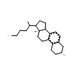 CC(C)CCCC(C)C1CCC2c3ccc4c(c3CC[C@@]21C)CC[C@H](O)C4